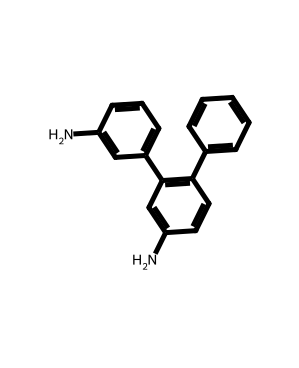 Nc1cccc(-c2cc(N)ccc2-c2ccccc2)c1